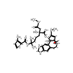 COC(=O)C[C@](O)(CCCC(C)(C)OC(=O)c1sccc1C)C(=O)O[C@@H]1C(OC)=C[C@]23CCCN2CCc2cc4c(cc2[C@H]13)OCO4